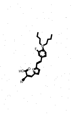 CCCCN(CCCC)c1ccc(/C=C/c2ccc(C=C(C#N)C(=O)O)s2)cc1F